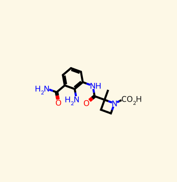 CC1(C(=O)Nc2cccc(C(N)=O)c2N)CCN1C(=O)O